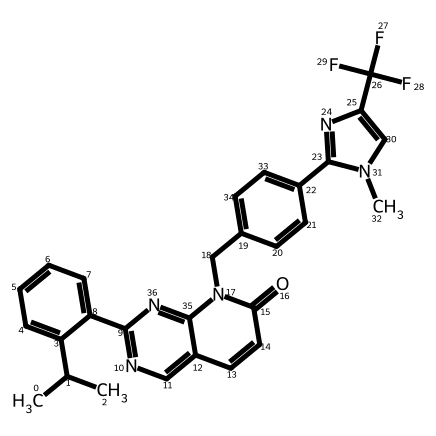 CC(C)c1ccccc1-c1ncc2ccc(=O)n(Cc3ccc(-c4nc(C(F)(F)F)cn4C)cc3)c2n1